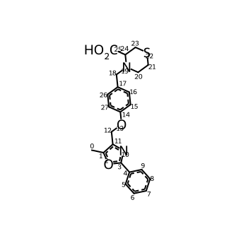 Cc1oc(-c2ccccc2)nc1COc1ccc(CN2CCSCC2C(=O)O)cc1